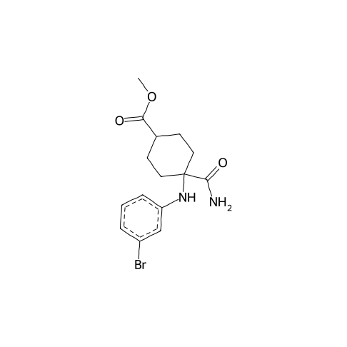 COC(=O)C1CCC(Nc2cccc(Br)c2)(C(N)=O)CC1